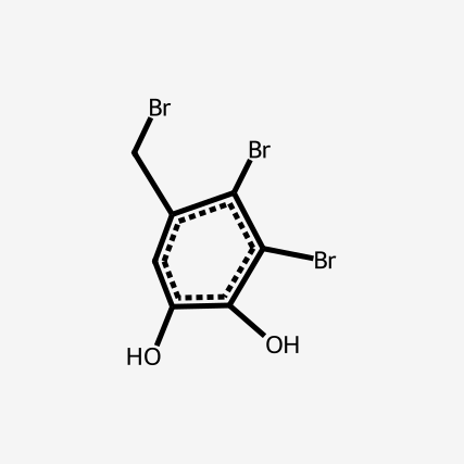 Oc1cc(CBr)c(Br)c(Br)c1O